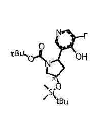 CC(C)(C)OC(=O)N1C[C@H](O[Si](C)(C)C(C)(C)C)CC1c1cncc(F)c1O